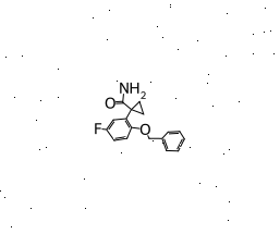 NC(=O)C1(c2cc(F)ccc2OCc2ccccc2)CC1